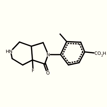 Cc1cc(C(=O)O)ccc1N1CC2CNCCC2(F)C1=O